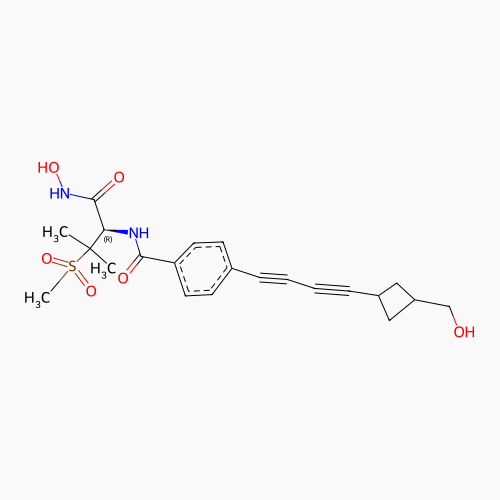 CC(C)([C@H](NC(=O)c1ccc(C#CC#CC2CC(CO)C2)cc1)C(=O)NO)S(C)(=O)=O